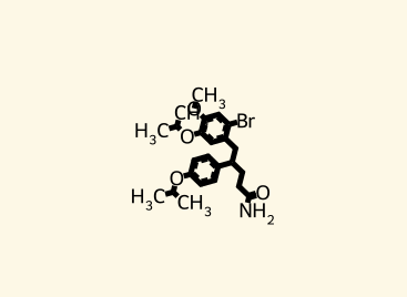 COc1cc(Br)c(CC(CCC(N)=O)c2ccc(OC(C)C)cc2)cc1OC(C)C